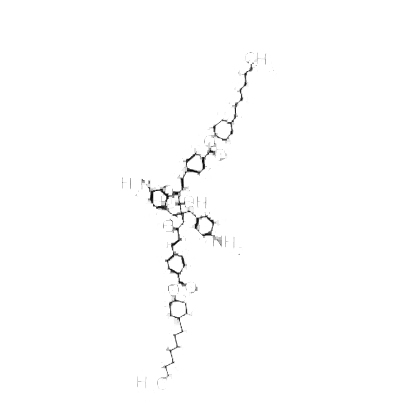 CCCCCCCCC1CCC(OC(=O)c2ccc(C=CC(=O)CC(Cc3ccc(N)cc3)(Cc3ccc(N)cc3)C(O)(O)C(=O)C=Cc3ccc(C(=O)OC4CCC(CCCCCCCC)CC4)cc3)cc2)CC1